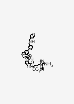 N=C(N)NCCC[C@H](NC(=O)c1sccc1NS(=O)(=O)c1cc(-c2cccc(CNCc3ccncc3)c2)cc2c1OCC2)C(=O)O